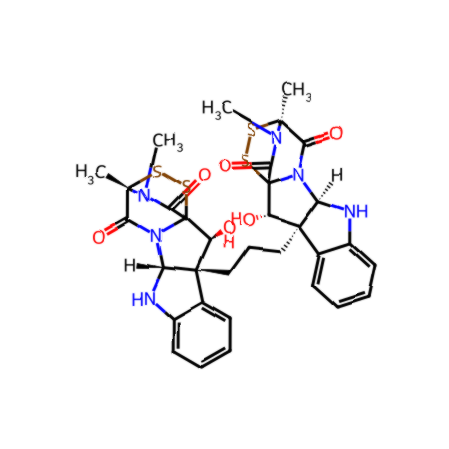 CN1C(=O)C23SS[C@@]1(C)C(=O)N2[C@H]1Nc2ccccc2[C@@]1(CCC[C@@]12c4ccccc4N[C@@H]1N1C(=O)[C@]4(C)SSC1(C(=O)N4C)[C@H]2O)[C@@H]3O